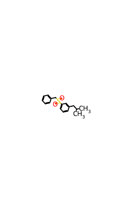 CC(C)Cc1cccc(S(=O)(=O)Cc2ccccc2)c1